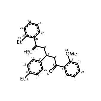 C=C(CC(CC(=O)c1ccccc1OC)c1ccc(CC)cc1)c1ccccc1CC